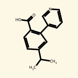 CC(C)c1ccc(C(=O)O)c(-c2cccnc2)c1